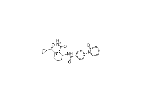 NC(=O)C1C(NC(=O)c2ccc(-n3ccccc3=O)cc2)[CH]CCN1C(=O)C1CC1